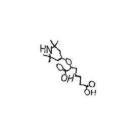 CC1(C)CC(OC(CCCCC(=O)O)C(=O)O)CC(C)(C)N1